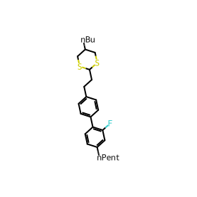 CCCCCc1ccc(-c2ccc(CCC3SCC(CCCC)CS3)cc2)c(F)c1